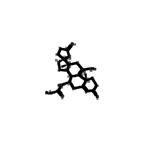 COC(=O)N[C@@H]1CC2=CC(=O)CC[C@]2(C)C2=C(OC)C[C@@]3(C)C(CC[C@@]34CCC(=O)O4)C21